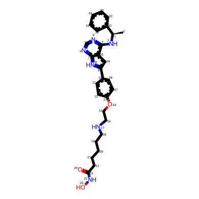 C[C@@H](Nc1ncnc2[nH]c(-c3ccc(OCCNCCCCCC(=O)NO)cc3)cc12)c1ccccc1